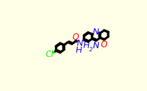 Nc1c2c(nc3ccc(NC(=O)/C=C/c4ccc(Cl)cc4)cc13)CCCC2=O